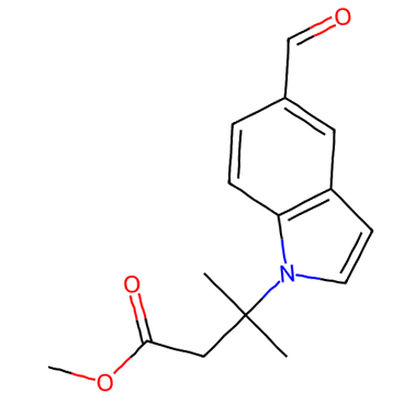 COC(=O)CC(C)(C)n1ccc2cc(C=O)ccc21